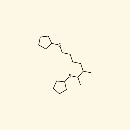 CC(C[CH]CCSC1CCCC1)C(C)SC1CCCC1